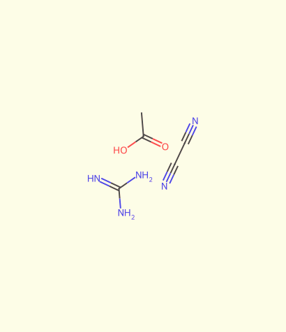 CC(=O)O.N#CC#N.N=C(N)N